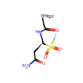 CCCCCCCC(=O)N[C@H](CC(N)=O)S(=O)(=O)F